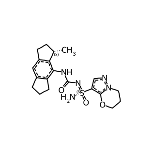 C[C@H]1CCc2cc3c(c(NC(=O)N=[S@](N)(=O)c4cnn5c4OCCC5)c21)CCC3